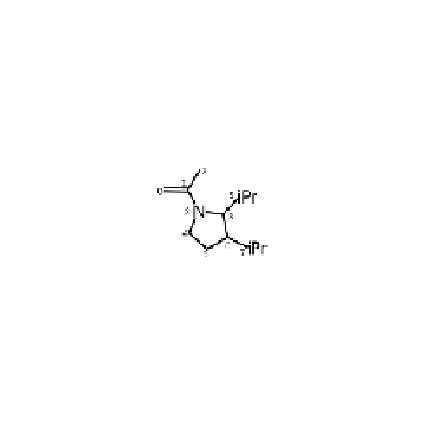 C=C(C)N1CCC(C(C)C)C1C(C)C